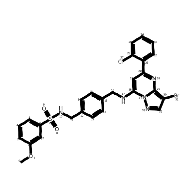 COc1cccc(S(=O)(=O)NCc2ccc(CNc3cc(-c4ccccc4Cl)nc4c(Br)cnn34)cc2)c1